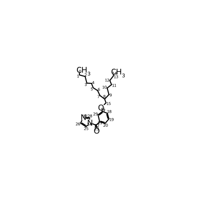 CCCCCCCCC(CCCCCC)COc1cccc(C(=O)n2ccnc2)c1